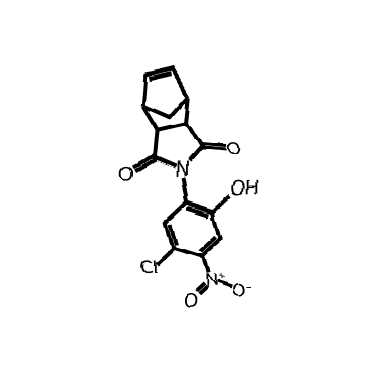 O=C1C2C3C=CC(C3)C2C(=O)N1c1cc(Cl)c([N+](=O)[O-])cc1O